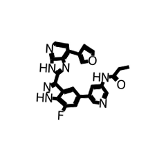 CCC(=O)Nc1cncc(-c2cc(F)c3[nH]nc(-c4nc5c(-c6ccoc6)ccnc5[nH]4)c3c2)c1